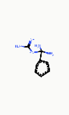 N=C(N)NC(N)(N)c1ccccc1